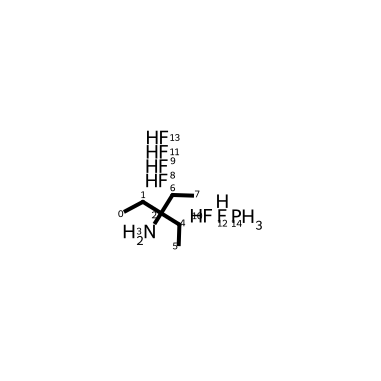 CCC(N)(CC)CC.F.F.F.F.F.F.P